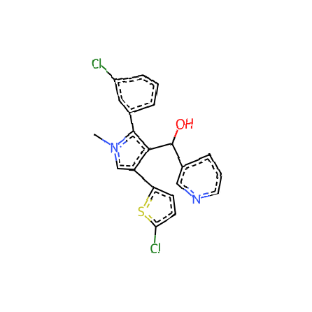 Cn1cc(-c2ccc(Cl)s2)c(C(O)c2cccnc2)c1-c1cccc(Cl)c1